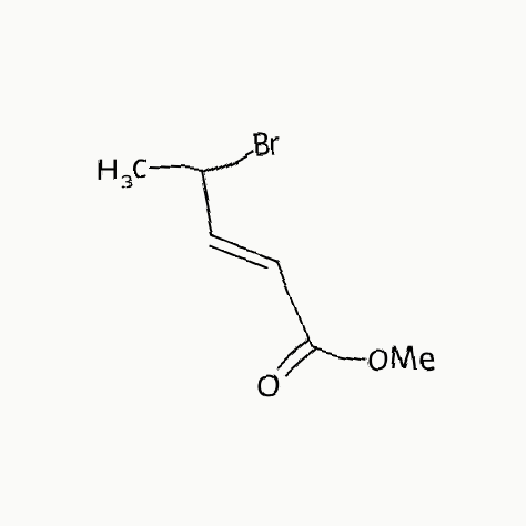 COC(=O)C=CC(C)Br